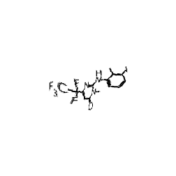 Cc1c(I)cccc1Nc1nc(C(F)(F)C(F)(F)F)cc(=O)n1C